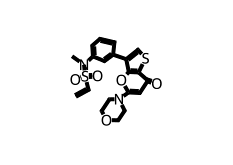 C=CS(=O)(=O)N(C)c1cccc(-c2csc3c(=O)cc(N4CCOCC4)oc23)c1